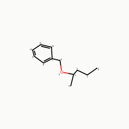 [CH2]CCC(C)OCc1ccccc1